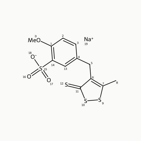 COc1ccc(Cc2c(C)ssc2=S)cc1S(=O)(=O)[O-].[Na+]